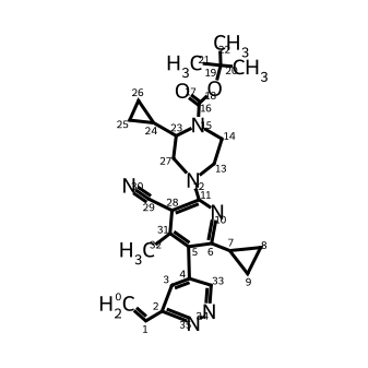 C=Cc1cc(-c2c(C3CC3)nc(N3CCN(C(=O)OC(C)(C)C)C(C4CC4)C3)c(C#N)c2C)cnn1